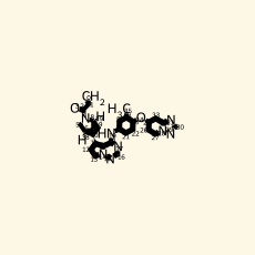 C=CC(=O)N1C[C@H]2C[C@@H]1C[C@@H]2c1ccn2ncnc(Nc3ccc(Oc4ccn5ncnc5c4)c(C)c3)c12